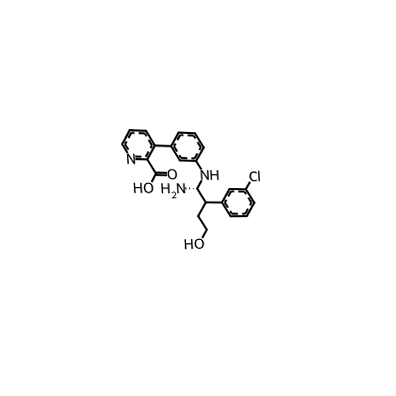 N[C@H](Nc1cccc(-c2cccnc2C(=O)O)c1)C(CCO)c1cccc(Cl)c1